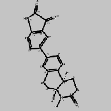 CN1C(=O)CC[C@]2(C)c3ccc(-c4ccc5c(c4)C(=O)C(=O)N5)cc3CC[C@@H]12